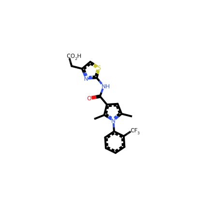 Cc1cc(C(=O)Nc2nc(CC(=O)O)cs2)c(C)n1-c1ccccc1C(F)(F)F